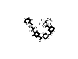 CC(C)(C)NC(=O)c1cccc(CN2CCN(C(=O)c3ccc(NC(=O)NCc4ccccn4)c(F)c3)CC2)c1